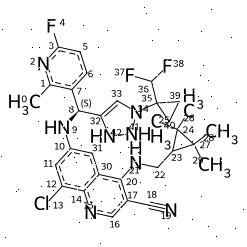 Cc1nc(F)ccc1[C@H](Nc1cc(Cl)c2ncc(C#N)c(NCC3C(C)(C)C3(C)C)c2c1)C1=CN(C2(C(F)F)CC2)NN1